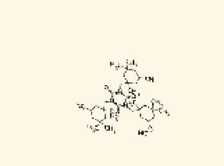 CC1(C)CC(C#N)CC(C)(Cn2c(=O)n(CC3(C)CC(C#N)CC(C)(C)C3)c(=O)n(CC3(C)CC(OC#N)CC(C)(C)C3)c2=O)C1